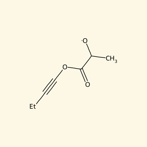 CCC#COC(=O)C(C)[O]